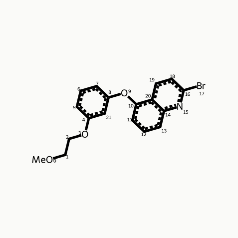 COCCOc1cccc(Oc2cccc3nc(Br)ccc23)c1